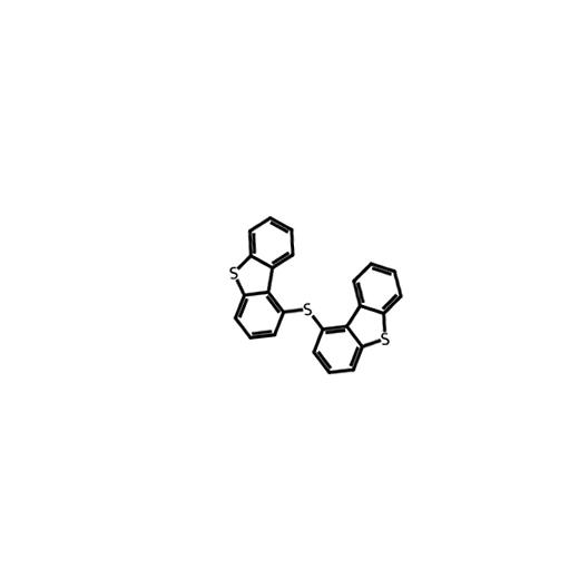 c1ccc2c(c1)sc1cccc(Sc3cccc4sc5ccccc5c34)c12